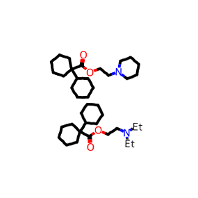 CCN(CC)CCOC(=O)C1(C2CCCCC2)CCCCC1.O=C(OCCN1CCCCC1)C1(C2CCCCC2)CCCCC1